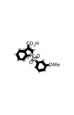 COc1cccc(S(=O)(=O)n2cc(C(=O)O)c3ccccc32)c1